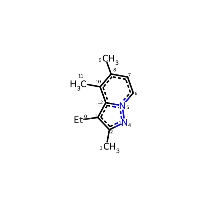 CCc1c(C)nn2ccc(C)c(C)c12